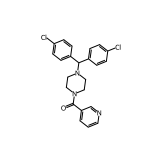 O=C(c1cccnc1)N1CCN(C(c2ccc(Cl)cc2)c2ccc(Cl)cc2)CC1